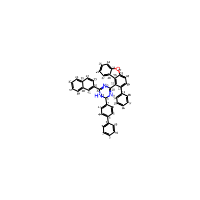 c1ccc(-c2ccc(C3N=C(c4c(-c5ccccc5)ccc5oc6ccccc6c45)N=C(c4ccc5ccccc5c4)N3)cc2)cc1